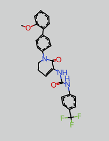 COc1ccccc1-c1ccc(N2CCC=C(NC(=O)Nc3ccc(C(F)(F)F)cc3)C2=O)cc1